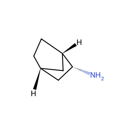 N[C@@H]1C[C@@H]2CC[C@H]1C2